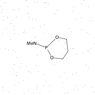 CNP1OCCCO1